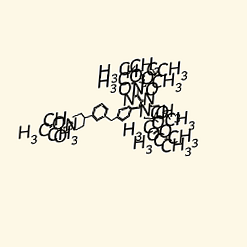 CCOCc1nc2c(N(C(=O)OC(C)(C)C)C(=O)OC(C)(C)C)nc3cc(Cc4cccc(C5CCN(C(=O)OC(C)(C)C)CC5)c4)ccc3c2n1CC(C)(C)OC(=O)OC(C)(C)C